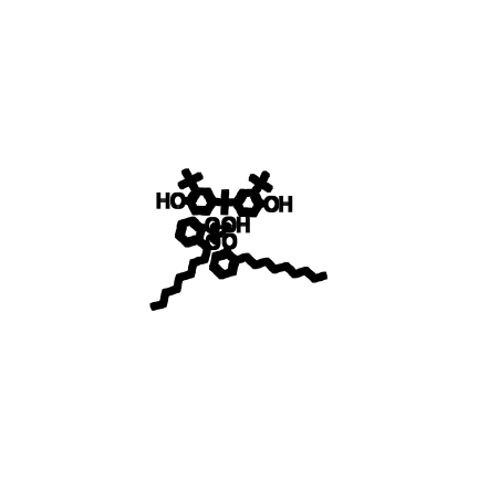 CC(C)(C)c1cc(C(C)(C)c2ccc(O)c(C(C)(C)C)c2)ccc1O.CCCCCCCCCc1ccccc1OP(=O)(O)Oc1ccccc1CCCCCCCCC